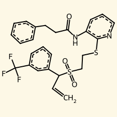 C=CC(c1cccc(C(F)(F)F)c1)S(=O)(=O)CCSc1ncccc1NC(=O)CCc1ccccc1